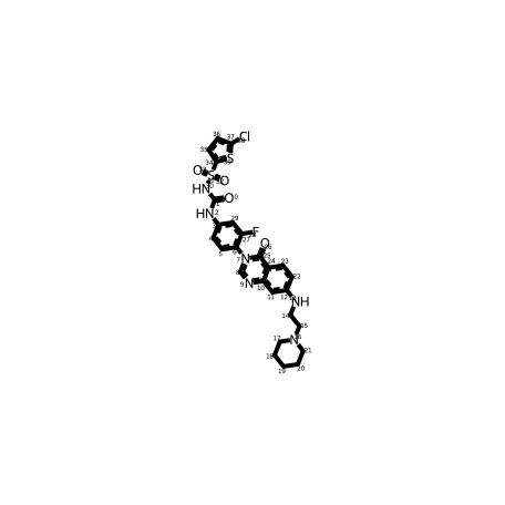 O=C(Nc1ccc(-n2cnc3cc(NCCN4CCCCC4)ccc3c2=O)c(F)c1)NS(=O)(=O)c1ccc(Cl)s1